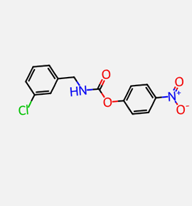 O=C(NCc1cccc(Cl)c1)Oc1ccc([N+](=O)[O-])cc1